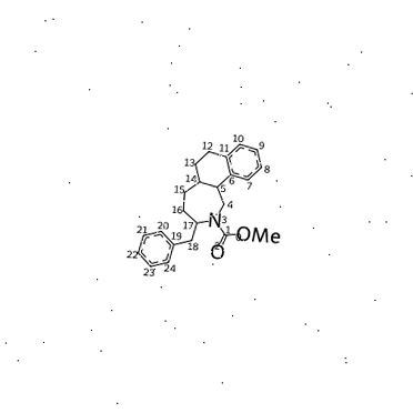 COC(=O)N1CC2c3ccccc3CCC2CCC1Cc1ccccc1